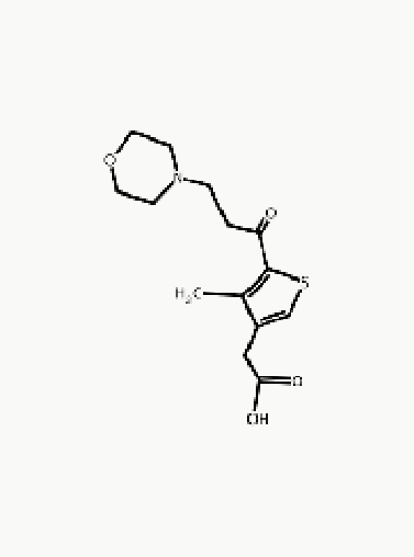 Cc1c(CC(=O)O)csc1C(=O)CCN1CCOCC1